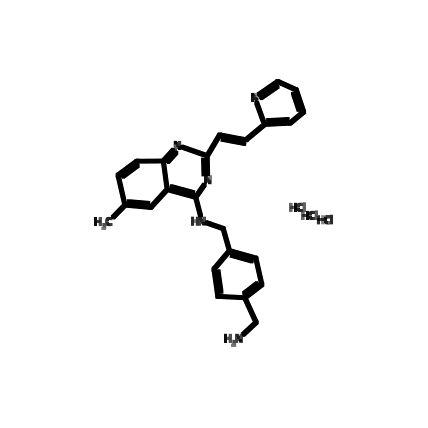 Cc1ccc2nc(C=Cc3ccccn3)nc(NCc3ccc(CN)cc3)c2c1.Cl.Cl.Cl